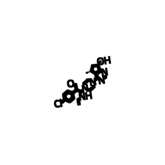 CCNC(C(C=O)c1ccc(Cl)cc1)N1CCN(c2ncnc3c2[C@H](C)C[C@H]3O)CC1